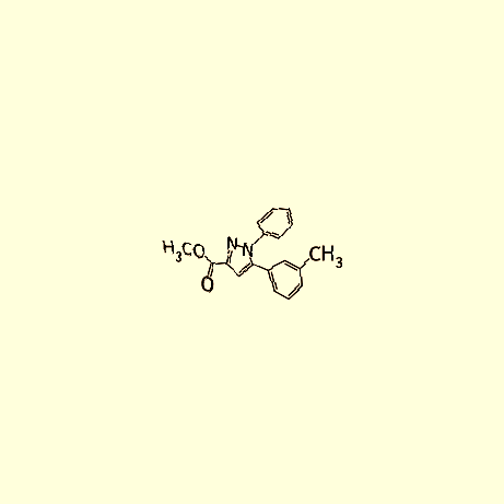 COC(=O)c1cc(-c2cccc(C)c2)n(-c2ccccc2)n1